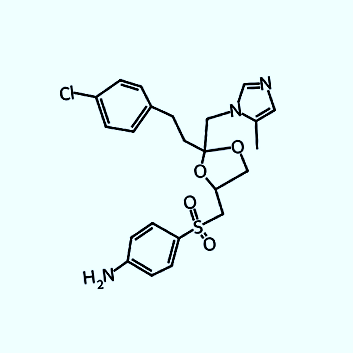 Cc1cncn1CC1(CCc2ccc(Cl)cc2)OCC(CS(=O)(=O)c2ccc(N)cc2)O1